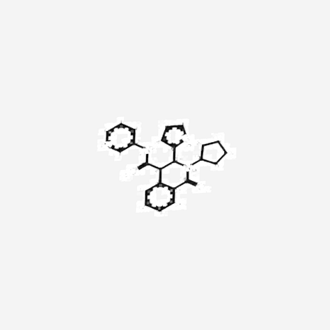 O=C(Nc1cccnc1)C1c2ccccc2C(=O)N(C2CCCC2)C1c1cccs1